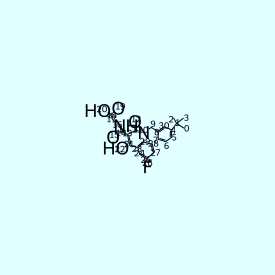 CC(C)(C)c1cccc(Cn2c(=O)c(C(=O)NCC(=O)O)c(O)c3cc(F)ccc32)c1